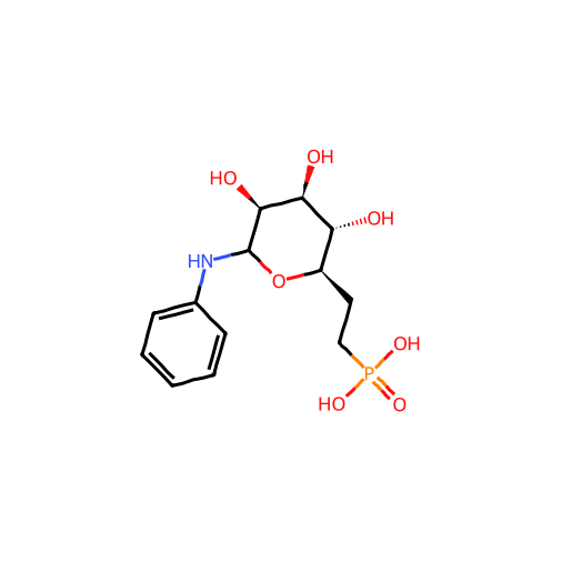 O=P(O)(O)CC[C@H]1OC(Nc2ccccc2)[C@@H](O)[C@@H](O)[C@@H]1O